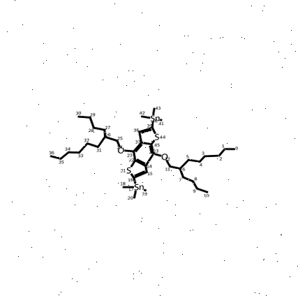 CCCCCCC(CCCC)COc1c2c[c]([Sn]([CH3])([CH3])[CH3])sc2c(OCC(CCCC)CCCCCC)c2c[c]([Sn]([CH3])([CH3])[CH3])sc12